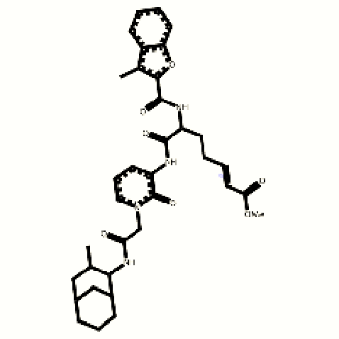 COC(=O)/C=C/CCC(NC(=O)c1oc2ccccc2c1C)C(=O)Nc1cccn(CC(=O)NC2C(C)CC3CCCC2C3)c1=O